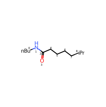 CCCCNC(=O)CCCCC(C)C